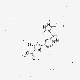 CCOC(=O)c1sc(-c2ccn3ncc(-c4c(C)nn(C)c4C)c3c2)nc1OC